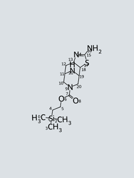 C[Si](C)(C)CCOC(=O)N1CC2CC3N=C(N)SC3C(C1)N2